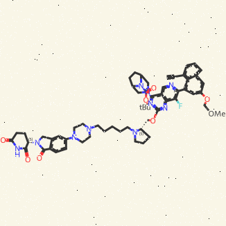 C#Cc1cccc2cc(OCOC)cc(-c3ncc4c(N5CC6CCC(C5)N6C(=O)OC(C)(C)C)nc(OC[C@@H]5CCCN5CCCCCN5CCN(c6ccc7c(c6)CN([C@H]6CCC(=O)NC6=O)C7=O)CC5)nc4c3F)c12